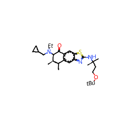 CCN(CC1CC1)C1C(=O)c2cc3sc(NC(C)(C)CCOC(C)(C)C)nc3cc2C(C)[C@H]1C